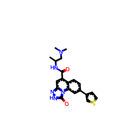 CC(CN(C)C)NC(=O)c1cc2n[nH]c(=O)n2c2cc(-c3ccsc3)ccc12